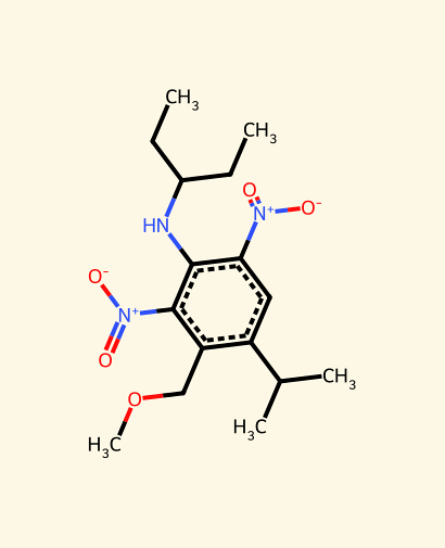 CCC(CC)Nc1c([N+](=O)[O-])cc(C(C)C)c(COC)c1[N+](=O)[O-]